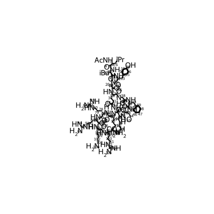 CC[C@H](C)[C@H](NC(=O)[C@H](CC(C)C)NC(C)=O)C(=O)N[C@@H](Cc1ccc(O)cc1)C(=O)N[C@@H](C)C(=O)N[C@@H](CCC(N)=O)C(=O)NCC(=O)N[C@@H](Cc1ccccc1)C(=O)N[C@@H](CO)C(=O)N[C@@H](CCCCN)C(=O)N[C@@H](CCCCN)C(=O)N[C@@H](CCCNC(=N)N)C(=O)N[C@@H](CCCNC(=N)N)C(=O)N[C@@H](CCCCN)C(=O)N[C@@H](CCCNC(=N)N)C(=O)O